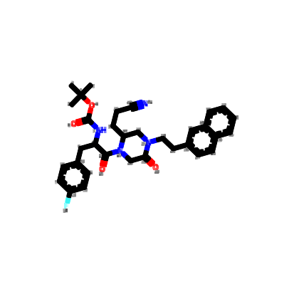 CC(C)(C)OC(=O)NC(Cc1ccc(F)cc1)C(=O)N1CC(=O)N(CCc2ccc3ccccc3c2)CC1CCC#N